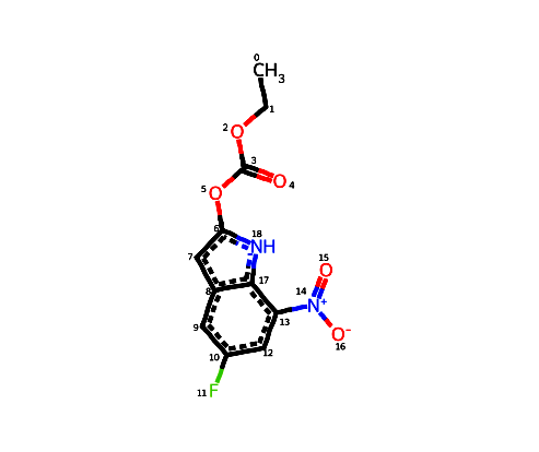 CCOC(=O)Oc1cc2cc(F)cc([N+](=O)[O-])c2[nH]1